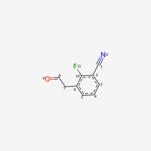 N#Cc1cccc(CC=O)c1F